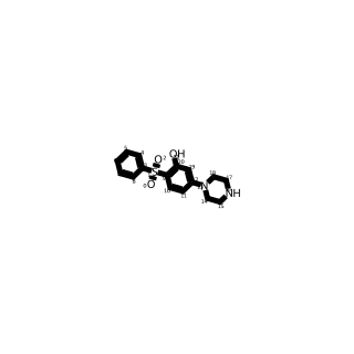 O=S(=O)(c1ccccc1)c1ccc(N2CCNCC2)cc1O